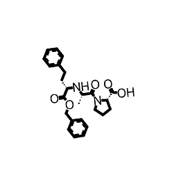 C[C@H](N[C@@H](CCc1ccccc1)C(=O)OCc1ccccc1)C(=O)N1CCC[C@H]1C(=O)O